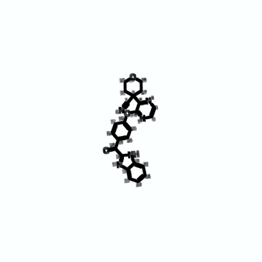 N#CC1(c2nccnc2Oc2ccc(C(=O)c3nc4ccccc4[nH]3)cc2)CCOCC1